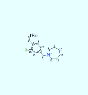 CC(C)(C)Cc1ccc(CN2CCCCCC2)cc1F